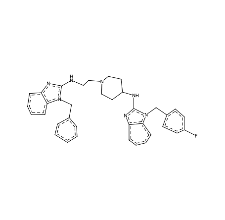 Fc1ccc(Cn2c(NC3CCN(CCNc4nc5ccccc5n4Cc4ccccc4)CC3)nc3ccccc32)cc1